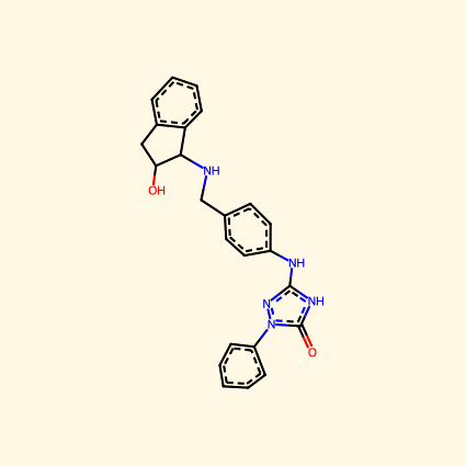 O=c1[nH]c(Nc2ccc(CNC3c4ccccc4CC3O)cc2)nn1-c1ccccc1